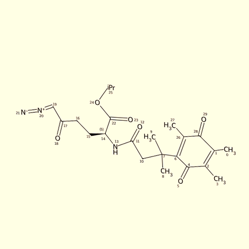 CC1=C(C)C(=O)C(C(C)(C)CC(=O)N[C@@H](CCC(=O)C=[N+]=[N-])C(=O)OC(C)C)=C(C)C1=O